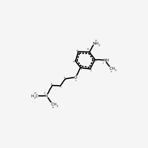 CNc1cc(OCCCN(C)C)ccc1N